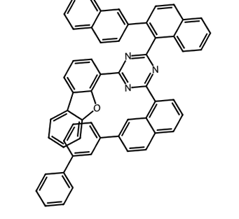 c1ccc(-c2cccc(-c3ccc4cccc(-c5nc(-c6c(-c7ccc8ccccc8c7)ccc7ccccc67)nc(-c6cccc7c6oc6ccccc67)n5)c4c3)c2)cc1